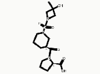 CC1(O)CN(S(=O)(=O)N2CCC[C@H](C(=O)N3CCC[C@@H]3C(=O)O)C2)C1